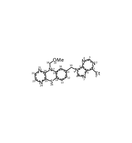 CCc1ncnc2c1ncn2Cc1ccc2c(c1)N(COC)c1nccnc1S2